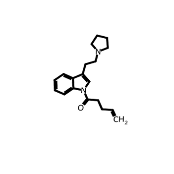 C=CCCC(=O)n1cc(CCN2CCCC2)c2ccccc21